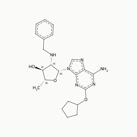 C[C@H]1O[C@@H](n2cnc3c(N)nc(OC4CCCC4)nc32)[C@@H](NCc2ccccc2)[C@@H]1O